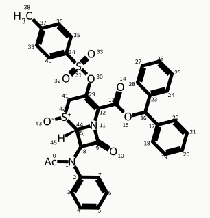 CC(=O)N(c1ccccc1)C1C(=O)N2C(C(=O)OC(c3ccccc3)c3ccccc3)=C(OS(=O)(=O)c3ccc(C)cc3)C[S+]([O-])[C@@H]12